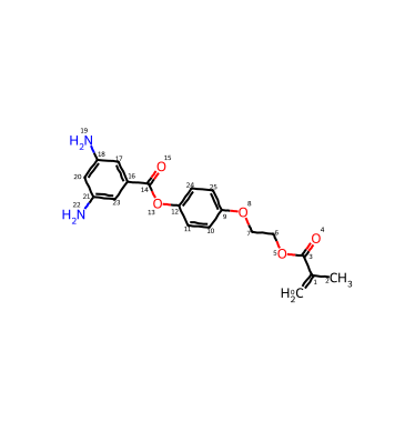 C=C(C)C(=O)OCCOc1ccc(OC(=O)c2cc(N)cc(N)c2)cc1